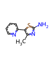 Cc1nc(N)sc1-c1ccccn1